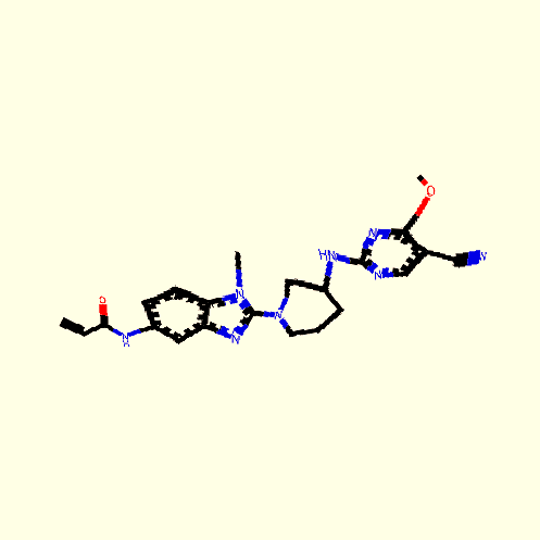 C=CC(=O)Nc1ccc2c(c1)nc(N1CCCC(Nc3ncc(C#N)c(OC)n3)C1)n2C